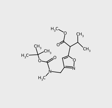 COC(=O)C(c1cc(CN(C)C(=O)OC(C)(C)C)no1)C(C)C